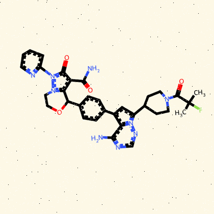 CC(C)(F)C(=O)N1CCC(c2cc(-c3ccc(C4OCCn5c4c(C(N)=O)c(=O)n5-c4ccccn4)cc3)c3c(N)ncnn23)CC1